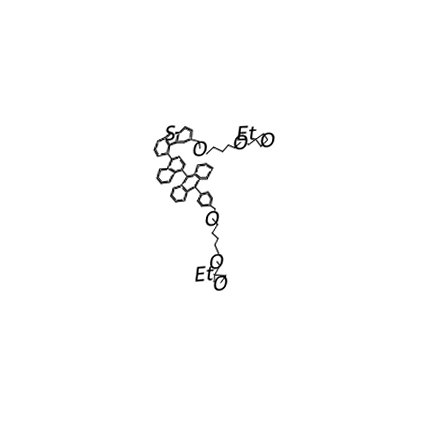 CCC1(COCCCCCOCc2ccc(-c3c4ccccc4c(-c4ccc(-c5cccc6sc7ccc(COCCCCCOCC8(CC)COC8)cc7c56)c5ccccc45)c4ccccc34)cc2)COC1